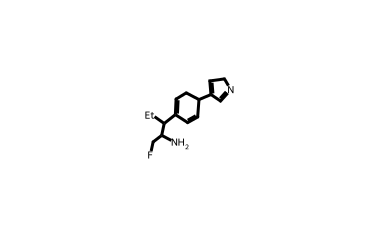 CCC(C1=CCC(C2=CCN=C2)C=C1)C(N)CF